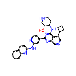 O[C@@H]1CNCC[C@H]1Nc1nc(-c2ccnc(Nc3ccc4ccccc4n3)c2)nc2cncc(C3CCC3)c12